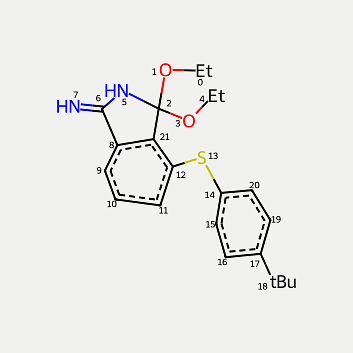 CCOC1(OCC)NC(=N)c2cccc(Sc3ccc(C(C)(C)C)cc3)c21